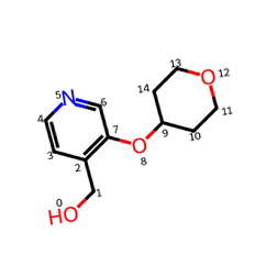 OCc1ccncc1OC1CCOCC1